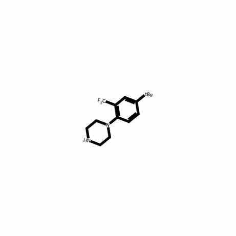 CC(C)(C)c1ccc(N2CCNCC2)c(C(F)(F)F)c1